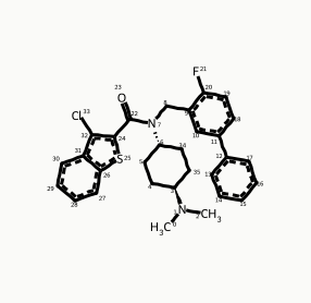 CN(C)[C@H]1CC[C@H](N(Cc2cc(-c3ccccc3)ccc2F)C(=O)c2sc3ccccc3c2Cl)CC1